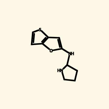 c1cc2oc(NC3CCCN3)cc2s1